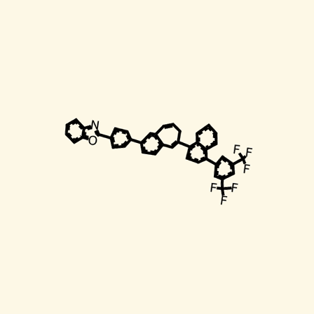 FC(F)(F)c1cc(-c2ccc(C3=Cc4ccc(-c5ccc(-c6nc7ccccc7o6)cc5)cc4C=CC3)c3ccccc23)cc(C(F)(F)F)c1